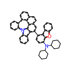 c1ccc2c(c1)oc1c(N(C3CCCCC3)C3CCCCC3)ccc(-c3cc4ccc5cccc6c7ccccc7n7c8ccccc8c3c7c4c56)c12